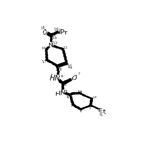 CCC1CCC(NC(=O)NC2CCN(C(=O)C(C)C)CC2)CC1